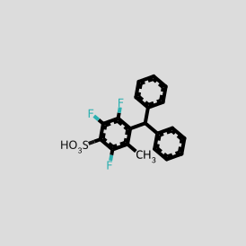 Cc1c(F)c(S(=O)(=O)O)c(F)c(F)c1C(c1ccccc1)c1ccccc1